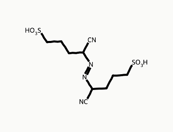 N#CC(CCCS(=O)(=O)O)N=NC(C#N)CCCS(=O)(=O)O